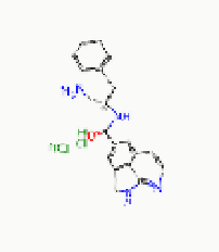 Cl.Cl.NC[C@H](Cc1ccccc1)NC(=O)c1cc2c3c(nccc3c1)NC2